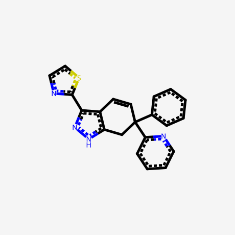 C1=CC(c2ccccc2)(c2ccccn2)Cc2[nH]nc(-c3nccs3)c21